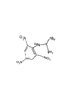 CCCCC(P)Nc1c([N+](=O)[O-])cc([N+](=O)[O-])cc1[N+](=O)[O-]